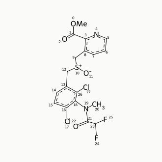 COC(=O)c1ncccc1C[S+]([O-])Cc1ccc(Cl)c(N(C)C(=O)C(F)F)c1Cl